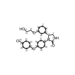 O=C1NC[C@H](c2cccc(OCCO)c2)N1c1ccc(Oc2ccc(Cl)cc2)cc1